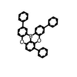 c1ccc(-c2ccc3c(c2)Oc2c(-c4ccccc4)ccc4c2B3c2cc(-c3ccccc3)ccc2O4)cc1